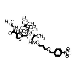 CCOC(=O)c1csc([C@@H](C[C@@H](NOCCCOCc2ccc([N+](=O)[O-])cc2)C(C)C)O[Si](C)(C)C(C)(C)C)n1